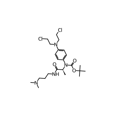 C[C@@H](C(=O)NCCCN(C)C)N(C(=O)OC(C)(C)C)c1ccc(N(CCCl)CCCl)cc1